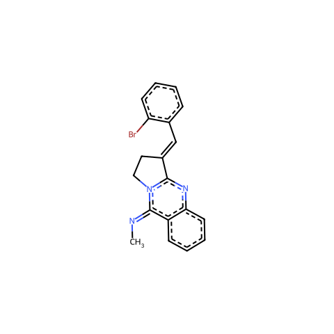 C/N=c1\c2ccccc2nc2n1CC/C2=C\c1ccccc1Br